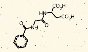 O=C(O)CC(NC(=O)CNC(=O)c1ccccc1)C(=O)O